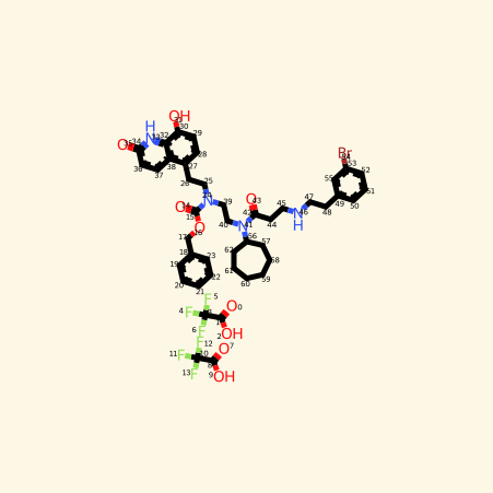 O=C(O)C(F)(F)F.O=C(O)C(F)(F)F.O=C(OCc1ccccc1)N(CCc1ccc(O)c2[nH]c(=O)ccc12)CCN(C(=O)CCNCCc1cccc(Br)c1)C1CCCCCC1